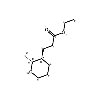 CCOC(=O)CC[C@H]1CCCO[C@@H]1C